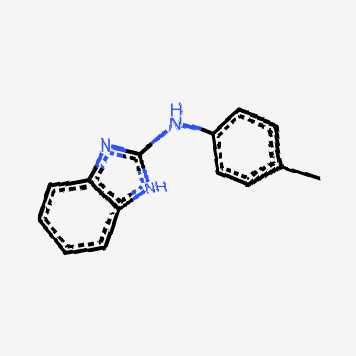 Cc1ccc(Nc2nc3ccccc3[nH]2)cc1